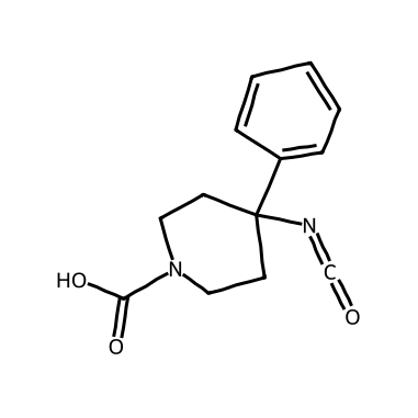 O=C=NC1(c2ccccc2)CCN(C(=O)O)CC1